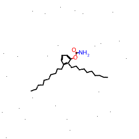 CCCCCCCCCCc1cccc(OC(N)=O)c1CCCCCCCCCC